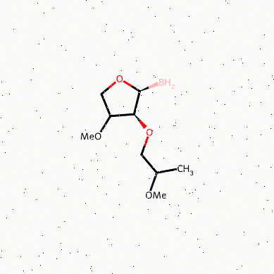 B[C@@H]1OCC(OC)[C@@H]1OCC(C)OC